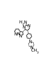 CN1CCN(c2ccc(-c3cnc(N)nc3-c3cnn4ncccc34)cc2)CC1